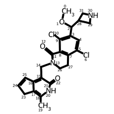 COC(c1cc(Cl)c2c(c1Cl)C(=O)N(Cc1c3c(c(C)[nH]c1=O)CC=C3)CC2)C1CNC1